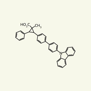 CC1(C(=O)O)C(c2ccccc2)C1c1ccc(-c2ccc(-n3c4ccccc4c4ccccc43)cc2)cc1